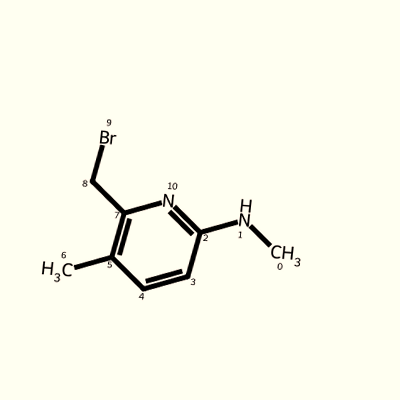 CNc1ccc(C)c(CBr)n1